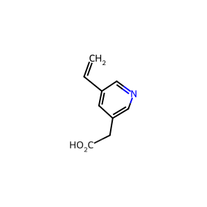 C=Cc1cncc(CC(=O)O)c1